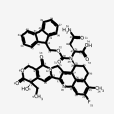 CC[C@@]1(O)C(=O)OCc2c1cc1n(c2=O)Cc2c-1nc1cc(F)c(C)c3c1c2[C@@H](N(C(=O)OCC1c2ccccc2-c2ccccc21)[C@@H](CC(N)=O)C(=O)O)CC3